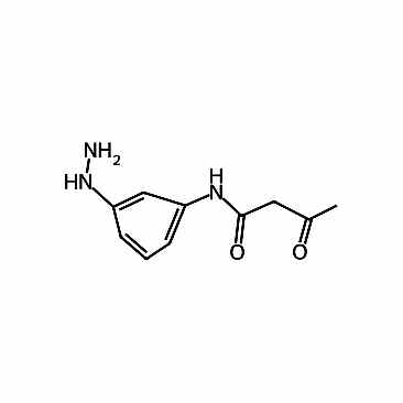 CC(=O)CC(=O)Nc1cccc(NN)c1